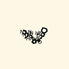 CCCn1c(CNc2cccc(C(=O)NCC3CCC4(CCCCCCC4)NC3OC)c2)nnc1-c1ccncn1